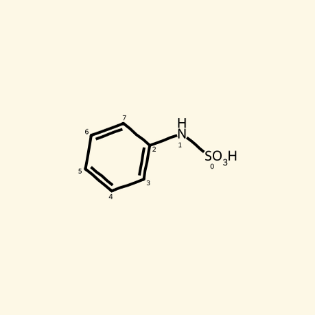 O=S(=O)(O)Nc1ccccc1